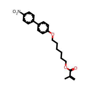 C=C(C)C(=O)OCCCCCCOc1ccc(-c2ccc([N+](=O)[O-])cc2)cc1